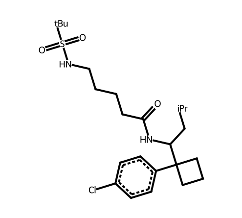 CC(C)CC(NC(=O)CCCCNS(=O)(=O)C(C)(C)C)C1(c2ccc(Cl)cc2)CCC1